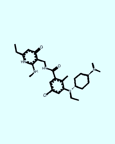 CCc1cc(=O)c(CNC(=O)c2cc(Cl)cc(N(CC)[C@H]3CC[C@H](N(C)C)CC3)c2C)c(NC)[nH]1